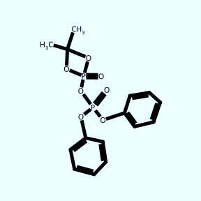 CC1(C)OP(=O)(OP(=O)(Oc2ccccc2)Oc2ccccc2)O1